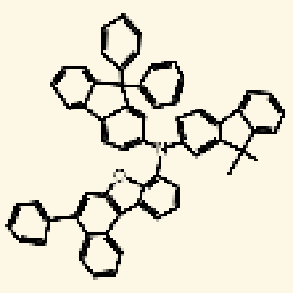 CC1(C)c2ccccc2-c2ccc(N(c3ccc4c(c3)C(c3ccccc3)(c3ccccc3)c3ccccc3-4)c3cccc4c3oc3cc(-c5ccccc5)c5ccccc5c34)cc21